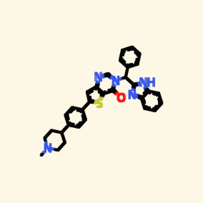 CN1CCC(c2ccc(-c3cc4ncn(C(c5ccccc5)c5nc6ccccc6[nH]5)c(=O)c4s3)cc2)CC1